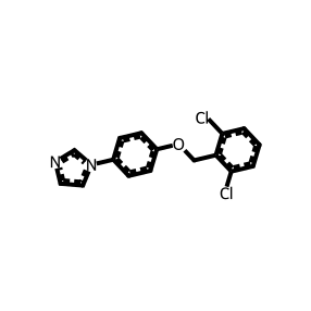 Clc1cccc(Cl)c1COc1ccc(-n2ccnc2)cc1